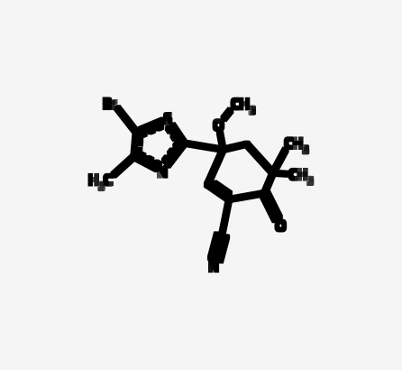 COC1(c2nc(C)c(Br)s2)C=C(C#N)C(=O)C(C)(C)C1